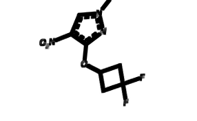 Cn1cc([N+](=O)[O-])c(OC2CC(F)(F)C2)n1